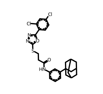 O=C(CCSc1nnc(-c2ccc(Cl)cc2Cl)o1)Nc1cccc(C23CC4CC(CC(C4)C2)C3)c1